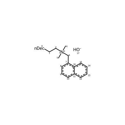 CCCCCCCCCCCC[N+](C)(C)Cc1cccc2ccccc12.[OH-]